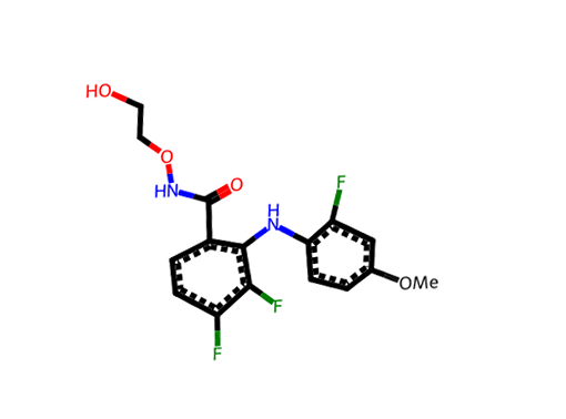 COc1ccc(Nc2c(C(=O)NOCCO)ccc(F)c2F)c(F)c1